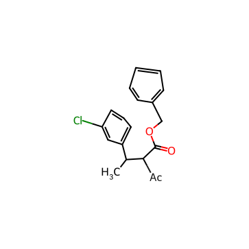 CC(=O)C(C(=O)OCc1ccccc1)C(C)c1cccc(Cl)c1